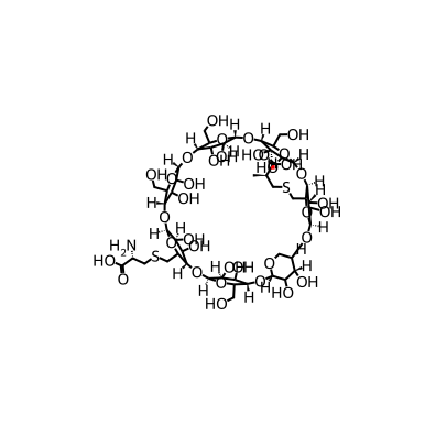 C[C@H](CSCC1O[C@@H]2O[C@@H]3CO[C@@H](O[C@@H]4C(CO)O[C@@H](O[C@@H]5C(CSC[C@@H](N)C(=O)O)O[C@@H](O[C@@H]6C(CO)O[C@H](O[C@@H]7C(CO)O[C@H](O[C@@H]8C(CO)O[C@H](O[C@H]1[C@H](O)C2O)C(O)[C@H]8O)[C@@H](O)C7O)C(O)C6O)[C@@H](O)C5O)[C@@H](O)C4O)C(O)[C@H]3O)C(=O)O